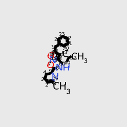 Cc1cccc(C(=O)N[C@@H](CC(C)C)C2=NOC(Cc3ccccc3)C2)n1